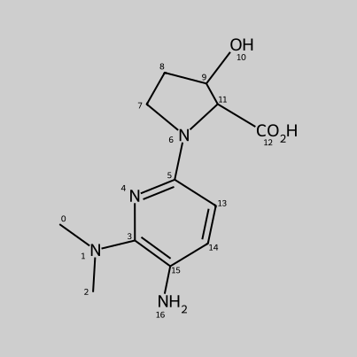 CN(C)c1nc(N2CCC(O)C2C(=O)O)ccc1N